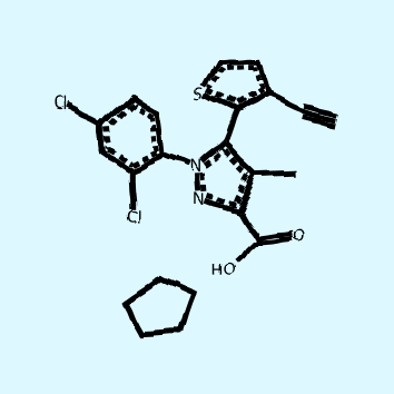 C#Cc1ccsc1-c1c(C)c(C(=O)O)nn1-c1ccc(Cl)cc1Cl.C1CCCC1